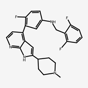 CN1CCC(c2cc3c(-c4cc(NCc5c(F)cccc5F)ccc4F)ccnc3[nH]2)CC1